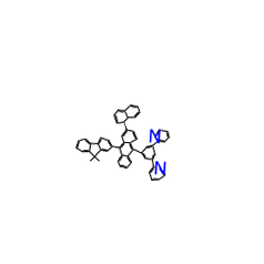 CC1(C)c2ccccc2-c2ccc(-c3c4ccccc4c(-c4cc(-c5ccccn5)cc(-c5ccccn5)c4)c4ccc([C@H]5C=CC=C6C=CC=CC65)cc34)cc21